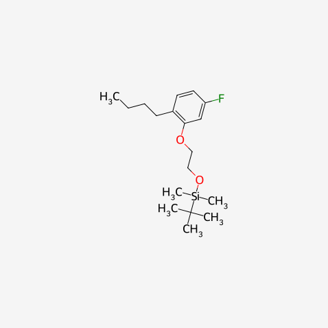 CCCCc1ccc(F)cc1OCCO[Si](C)(C)C(C)(C)C